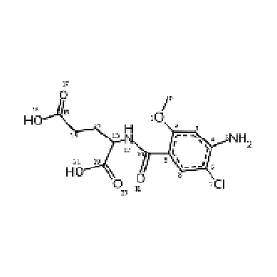 COc1cc(N)c(Cl)cc1C(=O)NC(CCC(=O)O)C(=O)O